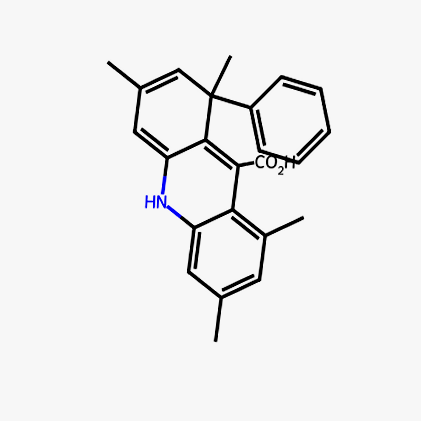 CC1=CC(C)(c2ccccc2)C2=C(C(=O)O)c3c(C)cc(C)cc3NC2=C1